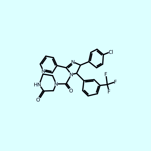 O=C1CN(C(=O)N2C(c3cccnc3)=NC(c3ccc(Cl)cc3)C2c2cccc(C(F)(F)F)c2)CCN1